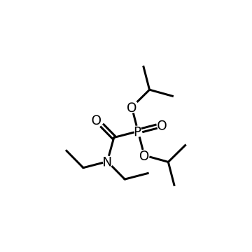 CCN(CC)C(=O)P(=O)(OC(C)C)OC(C)C